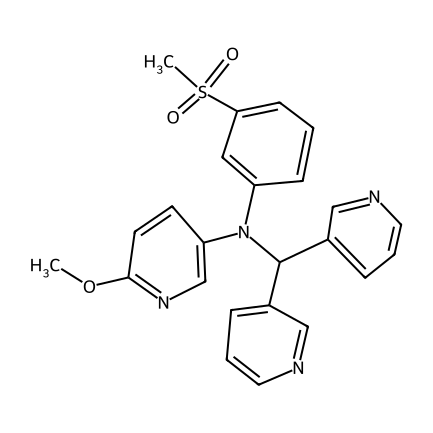 COc1ccc(N(c2cccc(S(C)(=O)=O)c2)C(c2cccnc2)c2cccnc2)cn1